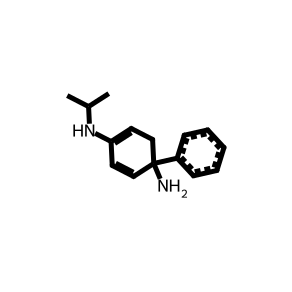 CC(C)NC1=CCC(N)(c2ccccc2)C=C1